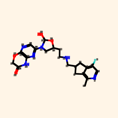 Cc1ncc(F)c2c1CC(CNCCC1CN(c3cnc4c(n3)NC(=O)CO4)C(O)O1)C2